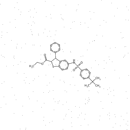 CCOC(=O)C1Sc2ccc(NS(=O)(=O)c3ccc(C(C)(C)C)cc3)cc2C1c1ccccc1